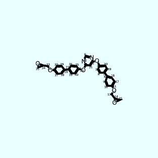 c1nc(Oc2ccc(-c3ccc(OCC4CO4)cc3)cc2)cc(Oc2ccc(-c3ccc(OCC4CO4)cc3)cc2)n1